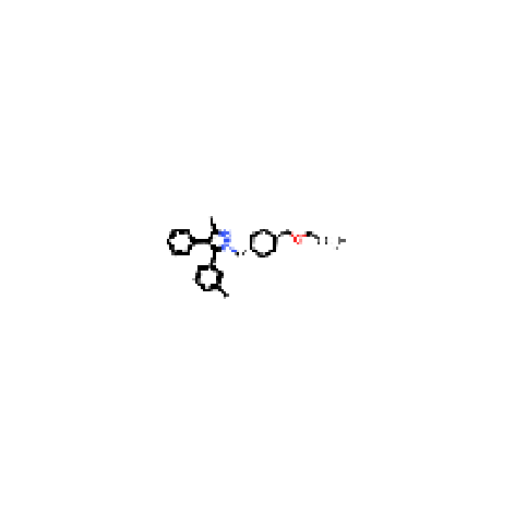 Cc1cccc(-c2c(-c3ccccc3)c(C)nn2C[C@H]2CC[C@H](COCC(=O)O)CC2)c1